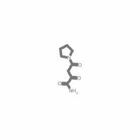 NC(=O)C(=O)CC(=O)N1CCCC1